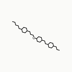 CCCCCC1CCC(CCCOC2CCC(CCC3CCC(CCC)CC3)CC2)CC1